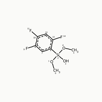 CO[Si](O)(OC)c1cc(F)c(F)cc1F